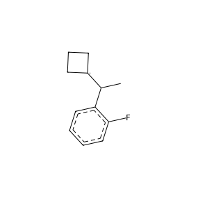 CC([C]1CCC1)c1ccccc1F